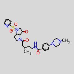 CC(CCNC(=O)c1ccc(N2CCN(C)CC2)cc1)CC(=O)N1CCC2C1C(=O)CN2S(=O)(=O)c1ccccn1